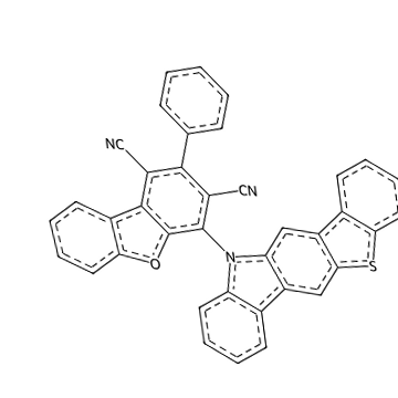 N#Cc1c(-c2ccccc2)c(C#N)c2c(oc3ccccc32)c1-n1c2ccccc2c2cc3sc4ccccc4c3cc21